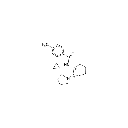 O=C(N[C@@H]1CCCC[C@@H]1N1CCCC1)c1ccc(C(F)(F)F)cc1C1CC1